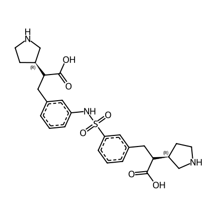 O=C(O)C(Cc1cccc(NS(=O)(=O)c2cccc(CC(C(=O)O)[C@H]3CCNC3)c2)c1)[C@H]1CCNC1